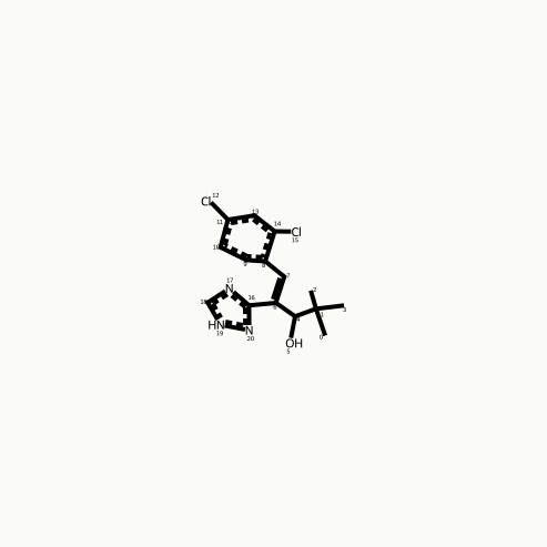 CC(C)(C)C(O)/C(=C/c1ccc(Cl)cc1Cl)c1nc[nH]n1